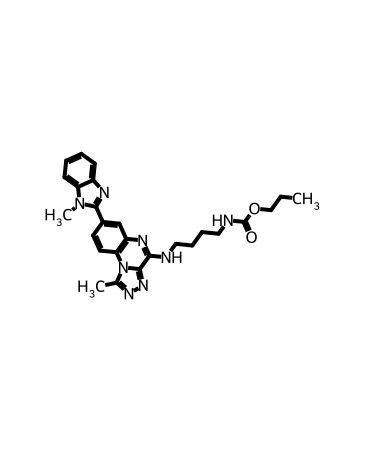 CCCOC(=O)NCCCCNc1nc2cc(-c3nc4ccccc4n3C)ccc2n2c(C)nnc12